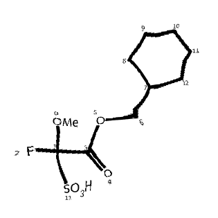 COC(F)(C(=O)OCC1CCCCC1)S(=O)(=O)O